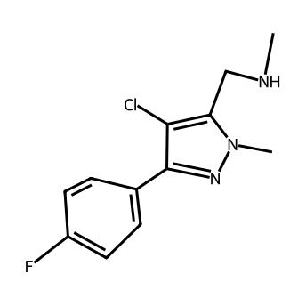 CNCc1c(Cl)c(-c2ccc(F)cc2)nn1C